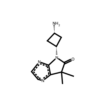 CC1(C)C(=O)N([C@H]2C[C@@H](N)C2)c2nccnc21